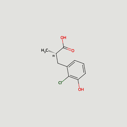 C[C@@H](Cc1cccc(O)c1Cl)C(=O)O